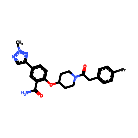 CC(C)c1ccc(CC(=O)N2CCC(Oc3ccc(-c4cnn(C)n4)cc3C(N)=O)CC2)cc1